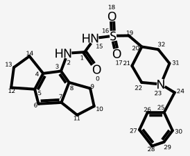 O=C(Nc1c2c(cc3c1CCC3)CCC2)NS(=O)(=O)CC1CCN(Cc2ccccc2)CC1